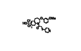 COc1cccc(OC2CCc3cc(C(O)(C(F)(F)F)C(F)(F)F)ccc3N(C(=O)CSc3ccncc3)C2)c1